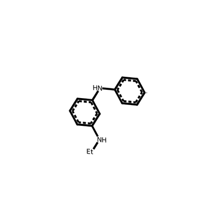 CCNc1cccc(Nc2cc[c]cc2)c1